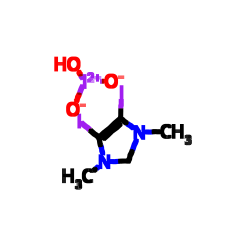 CN1CN(C)C(I)=C1I.[O-][I+2]([O-])O